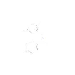 CCOC(=O)/C(=C/c1cc(Cl)sc1Cl)c1ccc(F)cc1